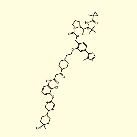 Cc1ncsc1-c1ccc(CNC(=O)[C@@H]2CCCN2C(=O)[C@@H](NC(=O)C2(F)CC2)C(C)(C)C)c(OCCN2CCN(C(=O)CC(=O)Nc3cccc(SC4=NCC(N5CCC(C)(N)CC5)N=C4)c3Cl)CC2)c1